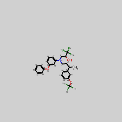 CC(CCN(CC(O)C(F)(F)F)c1cccc(Oc2ccccc2)c1)c1cccc(OC(F)(F)F)c1